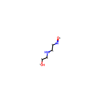 O=NCCNCCO